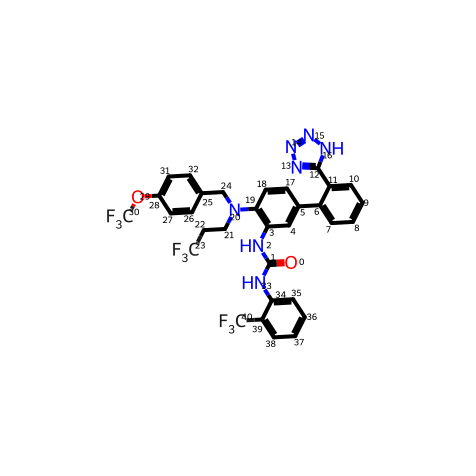 O=C(Nc1cc(-c2ccccc2-c2nnn[nH]2)ccc1N(CCC(F)(F)F)Cc1ccc(OC(F)(F)F)cc1)Nc1ccccc1C(F)(F)F